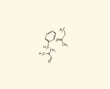 CCC(C)=O.CN(C)C=O.Cc1ccccc1